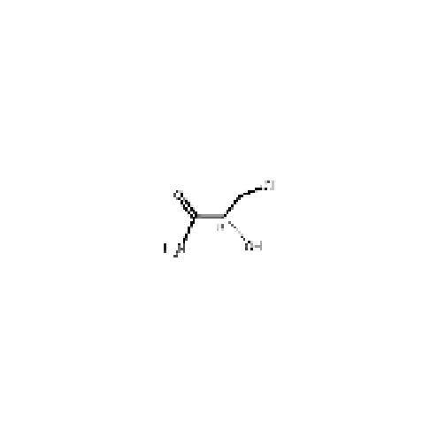 NC(=O)[C@@H](O)CCl